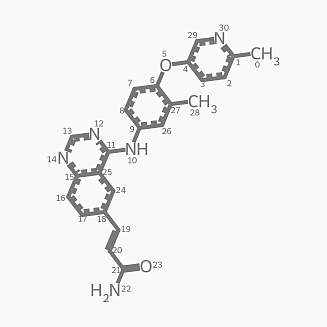 Cc1ccc(Oc2ccc(Nc3ncnc4ccc(C=CC(N)=O)cc34)cc2C)cn1